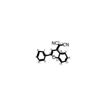 N#CC(C#N)=C1C=C(c2ccccc2)Oc2ccccc21